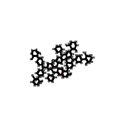 Cc1cccc(C)c1-c1ccc(N(c2ccc(-c3c(C)cccc3C)cc2)c2cc3c4c(c2)N(c2ccccc2)c2ccccc2B4c2cc4c(cc2O3)N(c2ccccc2)c2cc(-c3c(C)cccc3C)cc3c2B4c2cc(-c4c(C)cccc4C)ccc2N3c2ccc(-c3c(C)cccc3C)cc2)cc1